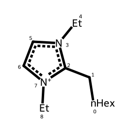 CCCCCCCc1n(CC)cc[n+]1CC